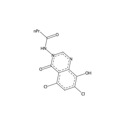 CCCC(=O)Nn1cnc2c(O)c(Cl)cc(Cl)c2c1=O